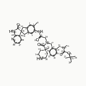 Cc1cc2c(cc1NC(=O)CN(Cc1ccccc1CN(C)C(=O)OC(C)(C)C)C(=O)C1(C)CCNCC1)CC1(C2)C(=O)Nc2ncccc21